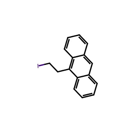 ICCc1c2ccccc2cc2ccccc12